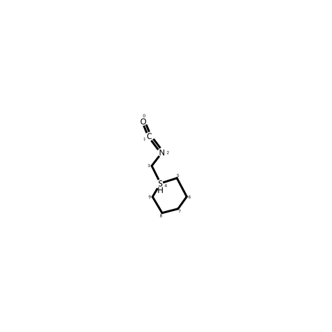 O=C=NC[SH]1CCCCC1